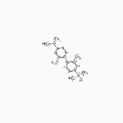 Cc1cc(C(C)C)ccc1-c1ccc(C(C)(C)I)cc1C